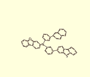 c1cc(-c2ccc3ccccc3c2)cc(N(c2cccc(-c3ccc4c(c3)sc3ccccc34)c2)c2ccc3c(c2)oc2ccccc23)c1